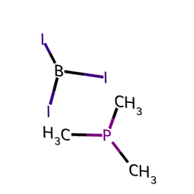 CP(C)C.IB(I)I